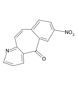 O=c1c2cc([N+](=O)[O-])ccc2ccc2ncccc12